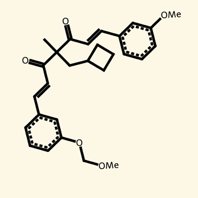 COCOc1cccc(/C=C/C(=O)C(C)(CC2CCC2)C(=O)/C=C/c2cccc(OC)c2)c1